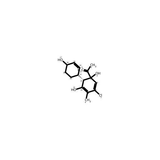 C=C(C)C1(O)C=C(Cl)C(C)=C(O)[C@@H]1C1C=CC(O)CC1